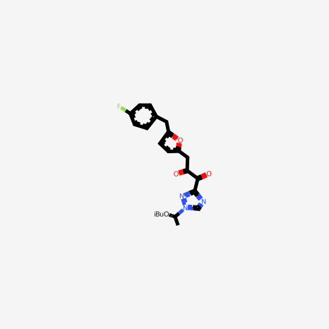 CC(C)COC(C)n1cnc(C(=O)C(=O)Cc2ccc(Cc3ccc(F)cc3)o2)n1